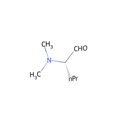 CCC[C@@H](C=O)N(C)C